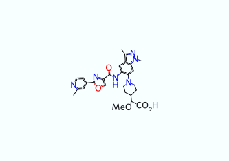 COC(C(=O)O)C1CCN(c2cc3c(cc2NC(=O)c2coc(-c4ccnc(C)c4)n2)c(C)nn3C)CC1